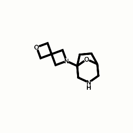 C1CC2(N3CC4(COC4)C3)CNCC1O2